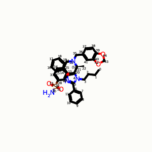 CCCCn1c(-c2ccccc2)nc(-c2ccccc2)c1[C@H](C)N(Cc1ccc(S(N)(=O)=O)cc1)Cc1ccc2c(c1)OCO2